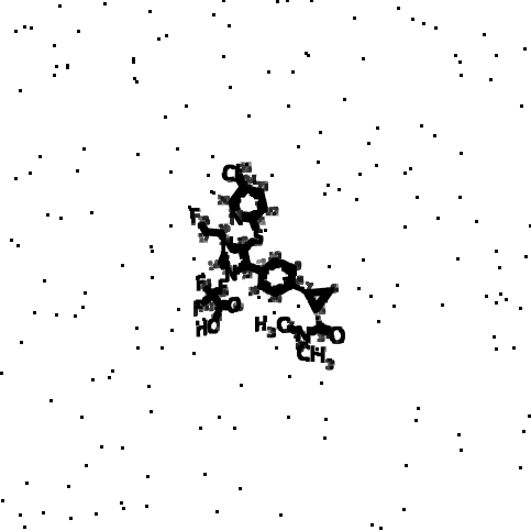 CN(C)C(=O)[C@H]1C[C@@H]1c1ccc(-c2ncn(CCF)c2Sc2ccc(Cl)cn2)cc1.O=C(O)C(F)(F)F